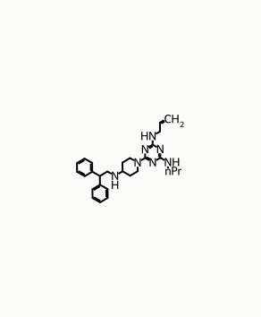 C=CCNc1nc(NCCC)nc(N2CCC(NCC(c3ccccc3)c3ccccc3)CC2)n1